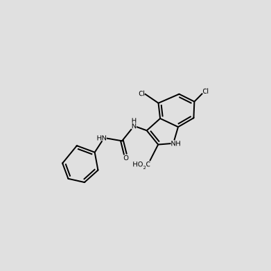 O=C(Nc1ccccc1)Nc1c(C(=O)O)[nH]c2cc(Cl)cc(Cl)c12